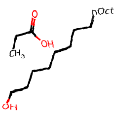 CCC(=O)O.CCCCCCCCCCCCCCCCO